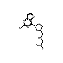 FC(F)CNCC1CCN(c2nc(Cl)nc3ccoc23)C1